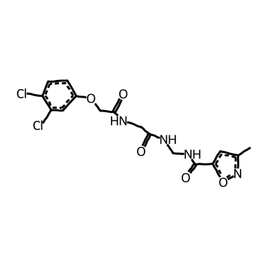 Cc1cc(C(=O)NCNC(=O)CNC(=O)COc2ccc(Cl)c(Cl)c2)on1